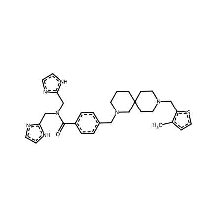 Cc1ccsc1CN1CCC2(CCCN(Cc3ccc(C(=O)N(Cc4ncc[nH]4)Cc4ncc[nH]4)cc3)C2)CC1